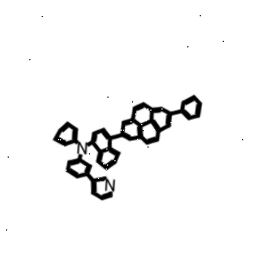 c1ccc(-c2cc3ccc4cc(-c5ccc(N(c6ccccc6)c6cccc(-c7cccnc7)c6)c6ccccc56)cc5ccc(c2)c3c45)cc1